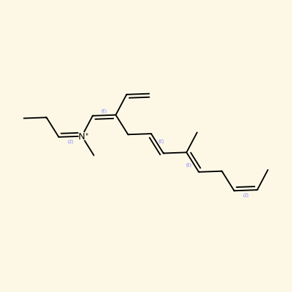 C=C/C(=C/[N+](C)=C\CC)C/C=C/C(C)=C/C/C=C\C